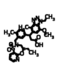 CC[C@@H]1CN(Cc2cc(C(CC(=O)O)c3cc(OC)c4c(nnn4CC)c3C)ccc2C)S(=O)(=O)c2cccnc2O1